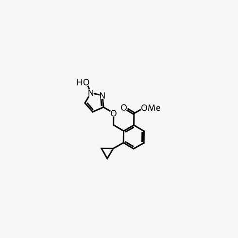 COC(=O)c1cccc(C2CC2)c1COc1ccn(O)n1